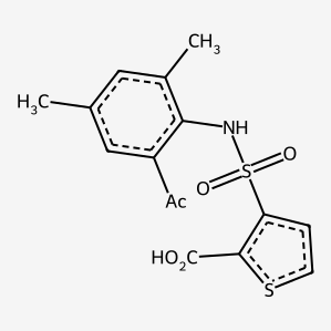 CC(=O)c1cc(C)cc(C)c1NS(=O)(=O)c1ccsc1C(=O)O